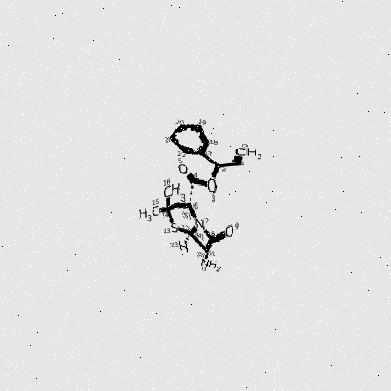 C=CC(OC(=O)[C@@H]1N2C(=O)[C@@H](N)[C@H]2SC1(C)C)c1ccccc1